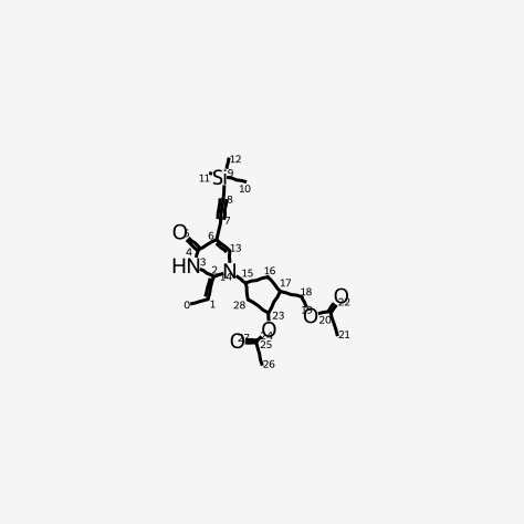 CC=C1NC(=O)C(C#C[Si](C)(C)C)=CN1C1CC(COC(C)=O)C(OC(C)=O)C1